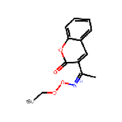 C/C(=N/OOCC(C)(C)C)c1cc2ccccc2oc1=O